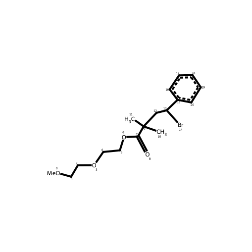 COCCOCCOC(=O)C(C)(C)CC(Br)c1ccccc1